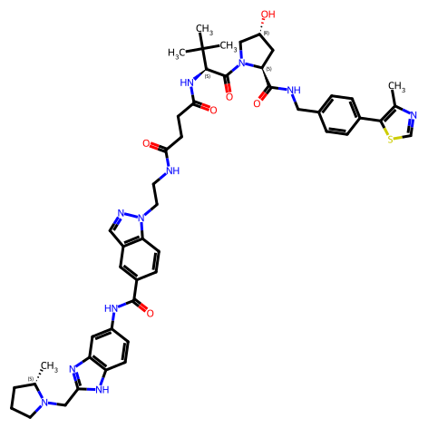 Cc1ncsc1-c1ccc(CNC(=O)[C@@H]2C[C@@H](O)CN2C(=O)[C@@H](NC(=O)CCC(=O)NCCn2ncc3cc(C(=O)Nc4ccc5[nH]c(CN6CCC[C@@H]6C)nc5c4)ccc32)C(C)(C)C)cc1